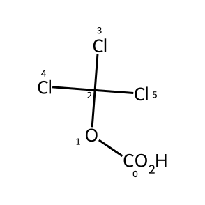 O=C(O)OC(Cl)(Cl)Cl